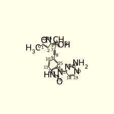 Cc1cc([C@](C)(O)C#Cc2ccc3[nH]c(=O)n(-c4ccnc(N)n4)c3c2)no1